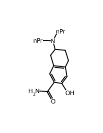 CCCN(CCC)C1CCc2cc(O)c(C(N)=O)cc2C1